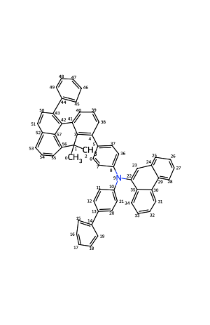 CC1(C)c2c(-c3ccc(N(c4ccc(-c5ccccc5)cc4)c4cc5ccccc5c5ccccc45)cc3)cccc2-c2c(-c3ccccc3)ccc3cccc1c23